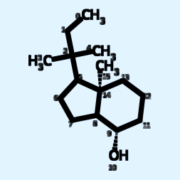 CCC(C)(C)C1CCC2[C@@H](O)CCC[C@@]21C